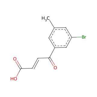 Cc1cc(Br)cc(C(=O)C=CC(=O)O)c1